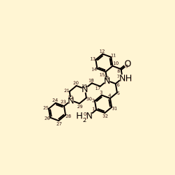 Nc1ccc(CC2NC(=O)c3ccccc3N2CCN2CCN(c3ccccc3)CC2)cc1